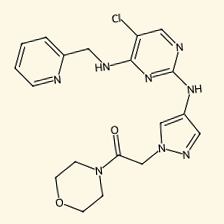 O=C(Cn1cc(Nc2ncc(Cl)c(NCc3ccccn3)n2)cn1)N1CCOCC1